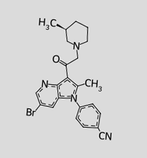 Cc1c(C(=O)CN2CCC[C@H](C)C2)c2ncc(Br)cc2n1-c1ccc(C#N)cc1